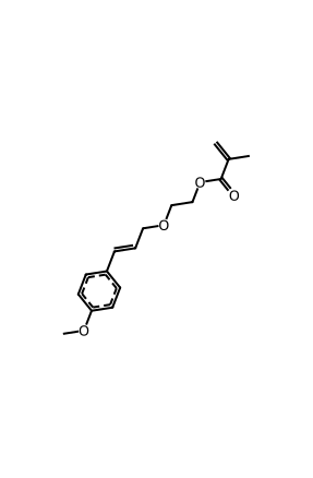 C=C(C)C(=O)OCCOC/C=C/c1ccc(OC)cc1